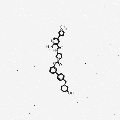 Cn1cc(-c2cnc(N)c(C(=O)N[C@@H]3CCN(C(=O)Oc4cccc(-c5ccc(CN6CCCC(O)C6)cc5)c4)C3)c2)cn1